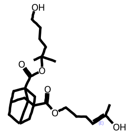 C/C(O)=C\CCCOC(=O)C12CC3CC(C1)CC(C(=O)OC(C)(C)CCCCO)(C3)C2